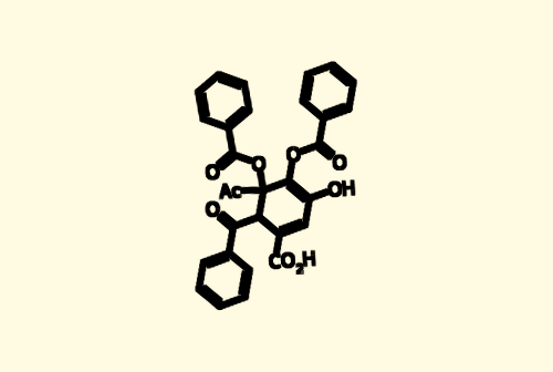 CC(=O)C1(OC(=O)c2ccccc2)C(OC(=O)c2ccccc2)=C(O)C=C(C(=O)O)C1C(=O)c1ccccc1